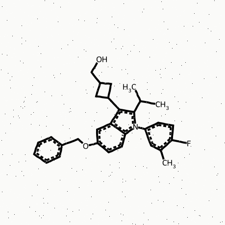 Cc1cc(-n2c(C(C)C)c(C3CC(CO)C3)c3cc(OCc4ccccc4)ccc32)ccc1F